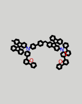 Cc1ccc2c(c1)C1(c3ccccc3-c3ccccc31)c1cc(N(c3ccc(-c4ccc(Cc5ccc6c(c5)C5(c7ccccc7-c7ccccc75)c5cc(N(c7ccc(-c8cccc9c8oc8ccccc89)cc7)c7ccccc7-c7ccccc7)ccc5-6)cc4)cc3)c3ccc(-c4cccc5c4oc4ccccc45)cc3)ccc1-2